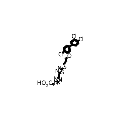 O=C(O)Cn1nnc(-c2nnc(SCCCOc3cc(-c4ccc(Cl)c(Cl)c4)ccc3Cl)s2)n1